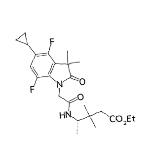 CCOC(=O)CC(C)(C)[C@H](C)NC(=O)CN1C(=O)C(C)(C)c2c(F)c(C3CC3)cc(F)c21